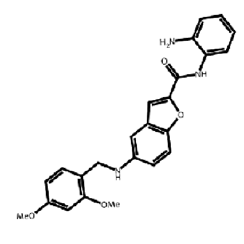 COc1ccc(CNc2ccc3oc(C(=O)Nc4ccccc4N)cc3c2)c(OC)c1